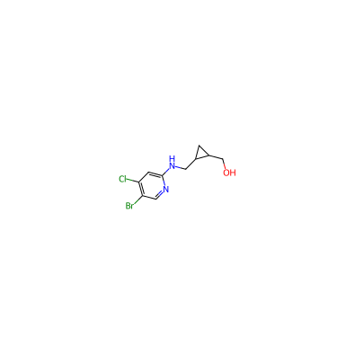 OCC1CC1CNc1cc(Cl)c(Br)cn1